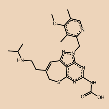 COc1c(C)cnc(Cn2nc3c4c(nc(NC(=O)O)nc42)SCC(CCNC(C)C)=C3)c1C